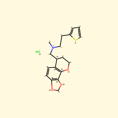 CN(CCc1cccs1)CC1CCOc2c1ccc1c2OCO1.Cl